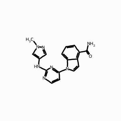 Cn1cc(Nc2nccc(-n3ccc4c(C(N)=O)cccc43)n2)cn1